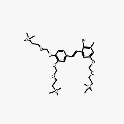 Cc1cc(OCOCC[Si](C)(C)C)cc(/C=C/c2ccc(OCOCC[Si](C)(C)C)c(OCOCC[Si](C)(C)C)c2)c1Br